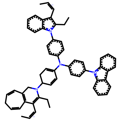 C/C=C\C1=C(CC)N(C2C=CC(N(c3ccc(-n4c(CC)c(/C=C\C)c5ccccc54)cc3)c3ccc(-n4c5ccccc5c5ccccc54)cc3)=CC2)CC2=C1C=CCC=C2